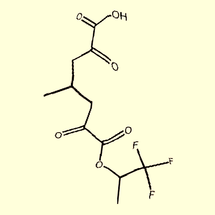 CC(CC(=O)C(=O)O)CC(=O)C(=O)OC(C)C(F)(F)F